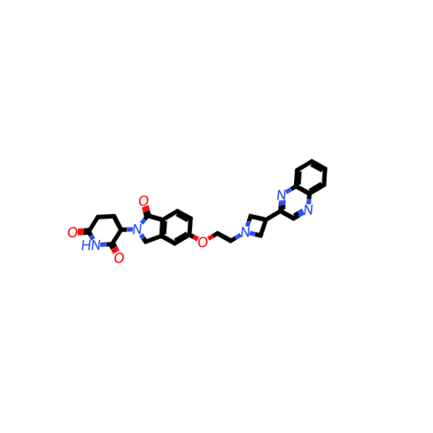 O=C1CCC(N2Cc3cc(OCCN4CC(c5cnc6ccccc6n5)C4)ccc3C2=O)C(=O)N1